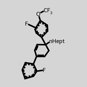 CCCCCCCC1(c2ccc(OC(F)(F)F)c(F)c2)C=CC(c2ccccc2F)=CC1